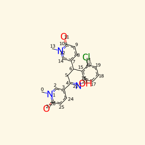 Cn1cc(/C(CC(c2ccc(=O)n(C)c2)c2ccccc2Cl)=N/O)ccc1=O